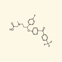 CN(CCC(Oc1ccc(C(=O)c2ccc(C(F)(F)F)cc2)cc1)c1ccc(F)cc1)CC(=O)O